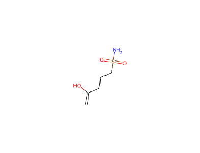 C=C(O)CCCS(N)(=O)=O